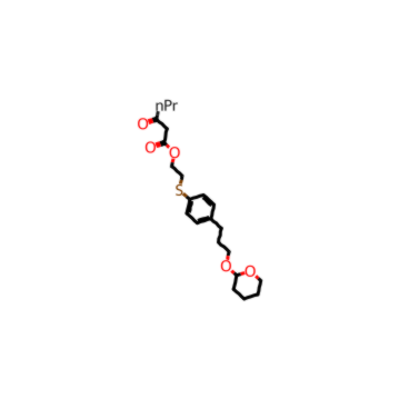 CCCC(=O)CC(=O)OCCSc1ccc(CCCOC2CCCCO2)cc1